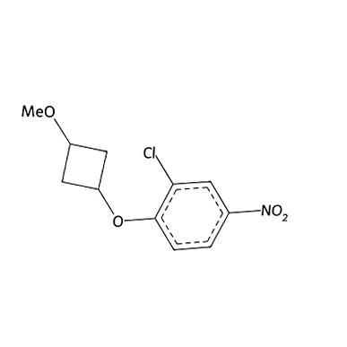 COC1CC(Oc2ccc([N+](=O)[O-])cc2Cl)C1